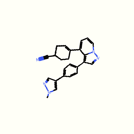 Cn1cc(-c2ccc(-c3cnn4cccc(C5=CCC(C#N)CC5)c34)cc2)cn1